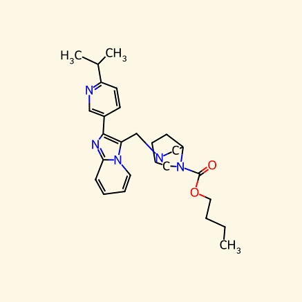 CCCCOC(=O)N1CC2CCC1CN2Cc1c(-c2ccc(C(C)C)nc2)nc2ccccn12